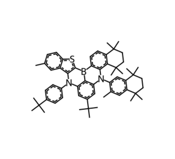 Cc1ccc2sc3c(c2c1)N(c1ccc(C(C)(C)C)cc1)c1cc(C(C)(C)C)cc2c1B3c1ccc3c(c1N2c1cc2c(cc1C)C(C)(C)CCC2(C)C)C(C)(C)CCC3(C)C